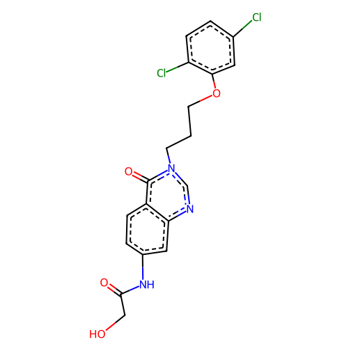 O=C(CO)Nc1ccc2c(=O)n(CCCOc3cc(Cl)ccc3Cl)cnc2c1